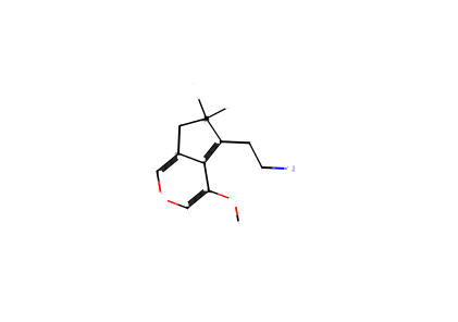 COC1=COC=C2CC(C)(C)C(CCN)=C21